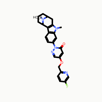 Cn1c2c(c3ccc(-n4ncc(OCc5ccc(F)cn5)cc4=O)cc31)C1CCCC(C2)N1C(=O)O